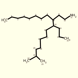 CCCCCCCCC(CCN)C(CCC)CCCCCC(C)C